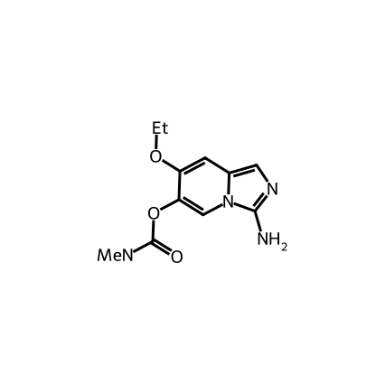 CCOc1cc2cnc(N)n2cc1OC(=O)NC